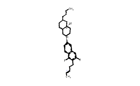 C/C=C/CCc1c(F)cc2cc([C@@H]3CC[C@@H]4CC(CCCC)CCC4C3)ccc2c1F